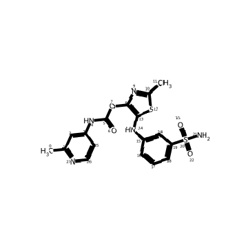 Cc1cc(NC(=O)Oc2nc(C)sc2Nc2cccc(S(N)(=O)=O)c2)ccn1